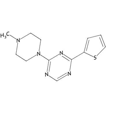 CN1CCN(c2ncnc(-c3cccs3)n2)CC1